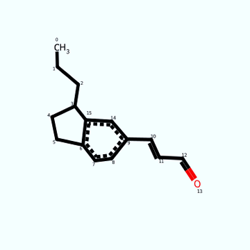 CCCC1CCc2ccc(C=CC=O)cc21